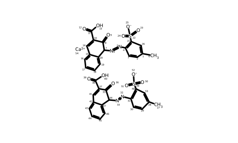 Cc1ccc(N=NC2C(=O)C(C(=O)O)=Cc3ccccc32)c(S(=O)(=O)[O-])c1.Cc1ccc(N=NC2C(=O)C(C(=O)O)=Cc3ccccc32)c(S(=O)(=O)[O-])c1.[Ca+2]